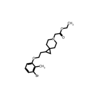 CCOC(=O)CN1CCC2(CC1)CC2CCOc1cccc(Br)c1C